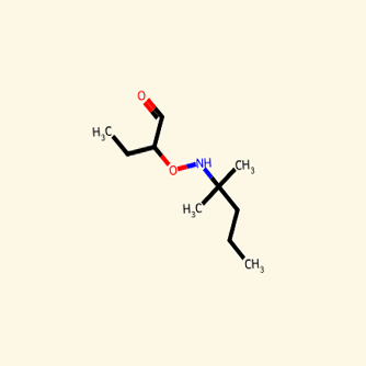 CCCC(C)(C)NOC(C=O)CC